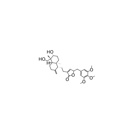 C=C1CC[C@@H]2[C@](C)(CO)[C@H](O)CC[C@@]2(C)[C@@H]1CCC1=CC(Cc2cc(OC)c(OC)c(OC)c2)OC1=O